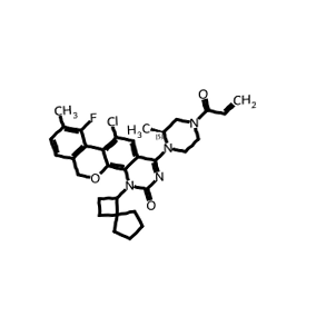 C=CC(=O)N1CCN(c2nc(=O)n(C3CCC34CCCC4)c3c4c(c(Cl)cc23)-c2c(ccc(C)c2F)CO4)[C@@H](C)C1